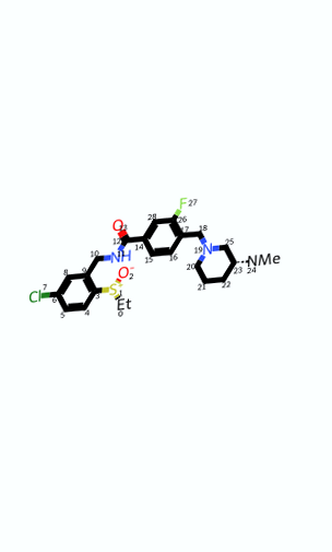 CC[S+]([O-])c1ccc(Cl)cc1CNC(=O)c1ccc(CN2CCC[C@@H](NC)C2)c(F)c1